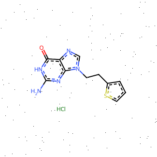 Cl.Nc1nc2c(ncn2CCc2cccs2)c(=O)[nH]1